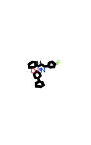 Fc1ccc(C2=NN3[C@@H](C2)c2ccccc2OC32CCC(c3ccccc3)CC2)cc1